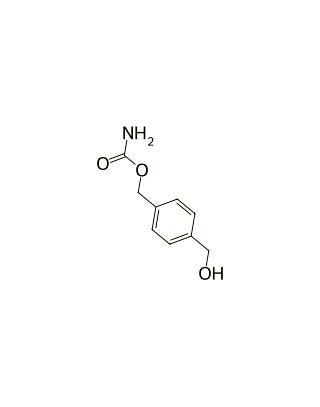 NC(=O)OCc1ccc(CO)cc1